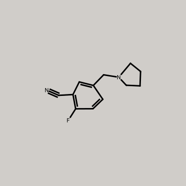 N#Cc1cc(CN2CCCC2)ccc1F